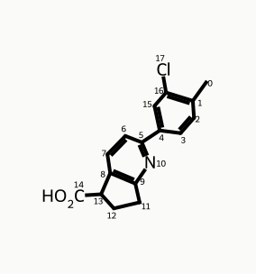 Cc1ccc(-c2ccc3c(n2)CCC3C(=O)O)cc1Cl